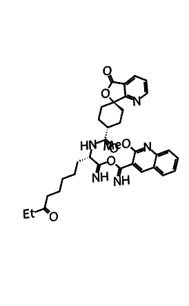 CCC(=O)CCCCC[C@H](NC(=O)[C@H]1CC[C@@]2(CC1)OC(=O)c1cccnc12)C(=N)OC(=N)c1cc2ccccc2nc1OC